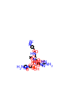 CC(C)(C)OC(=O)N[C@H](CCCNC(=O)OCc1ccc(N=[N+]=[N-])cc1)C(=O)O[C@H]1[C@@H](O)[C@H](n2cnc3c(N)ncnc32)O[C@H]1COP(=O)(O)O[C@H]1C[C@H](n2ccc(N)nc2=O)O[C@@H]1COP(=O)(O)O